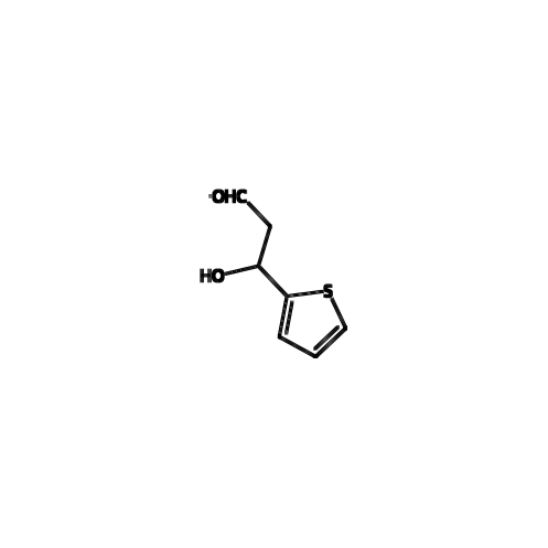 O=[C]CC(O)c1cccs1